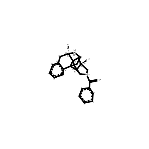 O=C(c1ccccc1)N1C[C@H]2CC34CCC1C2C31CCN[C@@H]4Cc2ccccc21